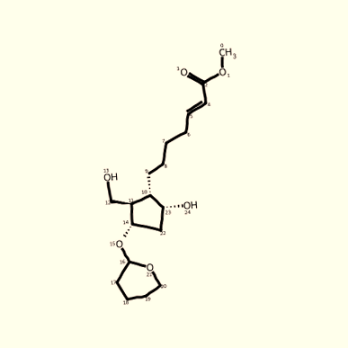 COC(=O)/C=C/CCCC[C@H]1[C@H](CO)[C@@H](OC2CCCCO2)C[C@H]1O